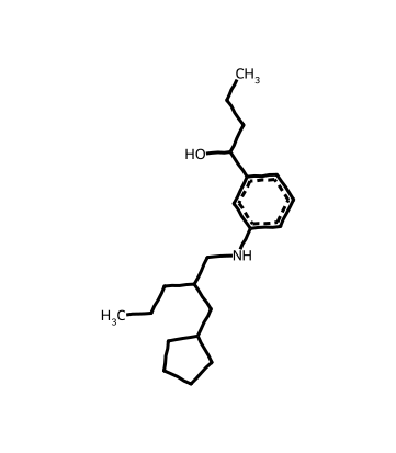 CCCC(CNc1cccc(C(O)CCC)c1)CC1CCCC1